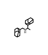 CC(NCC1C2CC3CC(C2)CC1C3)C1C2CC3CC(C2)CC1C3